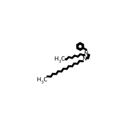 CCCCCCCCCCCCCCC[n+]1ccn(Cc2ccccc2)c1CCCCCCC